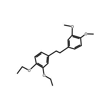 CCOc1ccc([CH]Cc2ccc(OC)c(OC)c2)cc1OCC